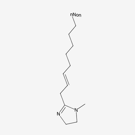 CCCCCCCCCCCCCCC=CCC1=NCCN1C